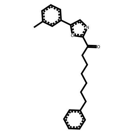 Cc1cccc(-c2cnc(C(=O)CCCCCCc3ccccc3)o2)c1